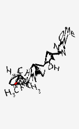 COc1ncnc(-c2ccc(-c3ccc(N(C)[C@H]4[C@@H](F)[C@]5(C)CC[C@@]4(C)CN5)nn3)c(O)c2)n1